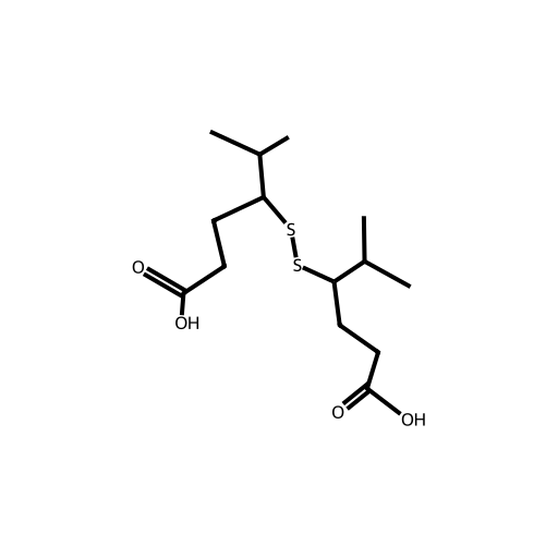 CC(C)C(CCC(=O)O)SSC(CCC(=O)O)C(C)C